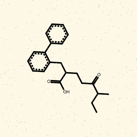 CCC(C)C(=O)CCC(Cc1ccccc1-c1ccccc1)C(=O)O